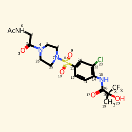 CC(=O)NCC(=O)N1CCN(S(=O)(=O)c2ccc(NC(=O)[C@@](C)(O)C(F)(F)F)c(Cl)c2)CC1